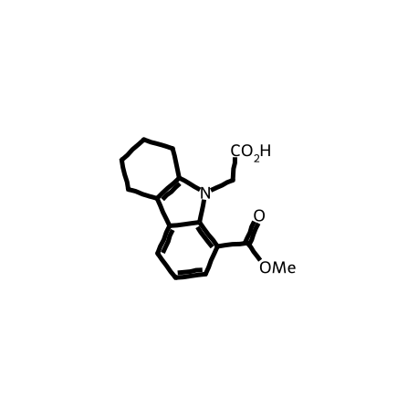 COC(=O)c1cccc2c3c(n(CC(=O)O)c12)CCCC3